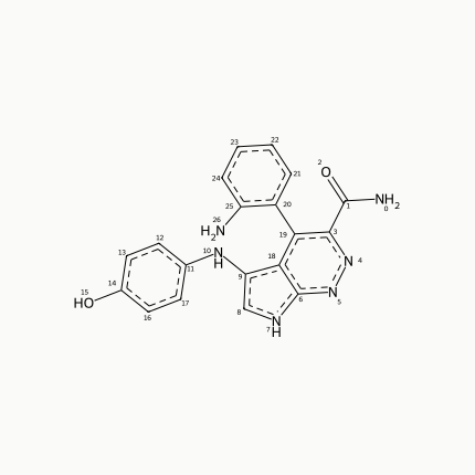 NC(=O)c1nnc2[nH]cc(Nc3ccc(O)cc3)c2c1-c1ccccc1N